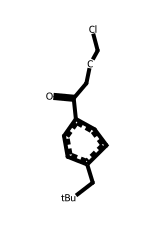 CC(C)(C)Cc1ccc(C(=O)CCCCl)cc1